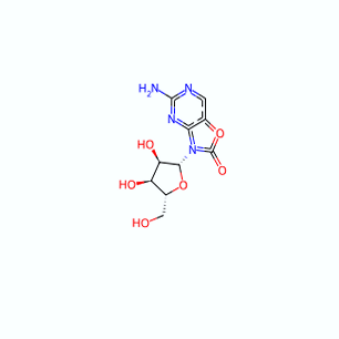 Nc1ncc2oc(=O)n([C@@H]3O[C@H](CO)[C@@H](O)[C@H]3O)c2n1